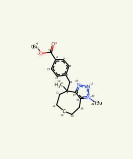 CC(C)(C)OC(=O)c1ccc(CC2(C)CCCCCc3c2nnn3C(C)(C)C)cc1